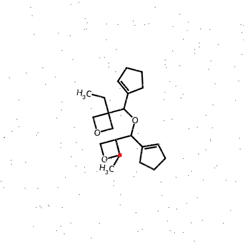 CCC1(C(OC(C2=CCCC2)C2(CC)COC2)C2=CCCC2)COC1